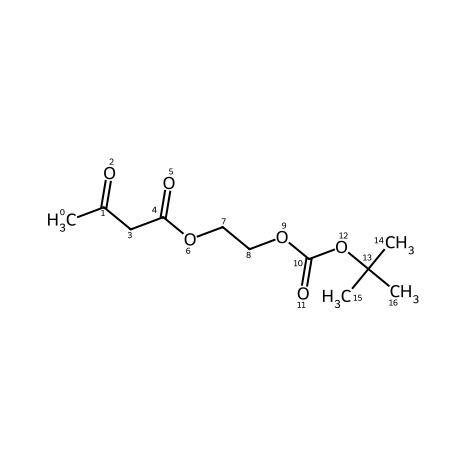 CC(=O)CC(=O)OCCOC(=O)OC(C)(C)C